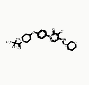 CC(C)(C)C(=O)N1CCC(Oc2ccc(-n3ncc(NC[C@@H]4CCCOC4)c(Cl)c3=O)cc2)CC1